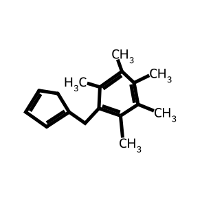 Cc1c(C)c(C)c(CC2=CC=CC2)c(C)c1C